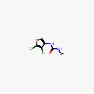 CC(C)NC(=O)Nc1csc(Cl)c1Cl